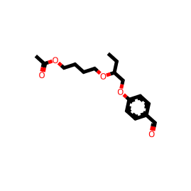 CCC(COc1ccc(C=O)cc1)OCCCCOC(C)=O